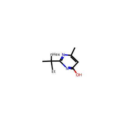 CCCCCCC(C)(CC)c1nc(C)cc(O)n1